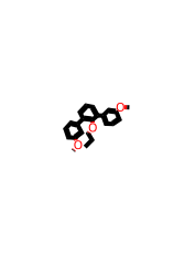 CCCOc1c(-c2cccc(OC)c2)cccc1-c1cccc(OC)c1